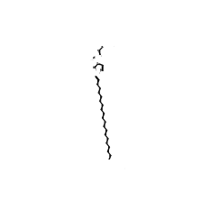 CCCCCCCCCCCCCCCCCCCC/C=C/N1C(=O)CC([S+]([O-])CC(O)CC)C1=O